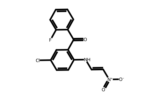 O=C(c1ccccc1F)c1cc(Cl)ccc1N/C=C/[N+](=O)[O-]